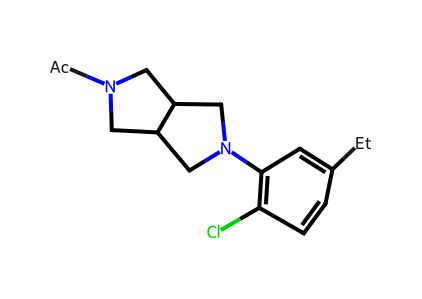 CCc1ccc(Cl)c(N2CC3CN(C(C)=O)CC3C2)c1